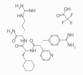 N=C(N)NCCC[C@H](NC(=O)[C@H](CC1CCCCC1)NC(=O)[C@H](Cc1ccc(C(=N)N)cc1)c1cccnc1)C(N)=O.O=C(O)C(F)(F)F